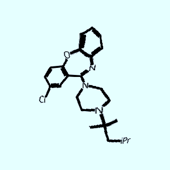 CC(C)CC(C)(C)N1CCN(C2=Nc3ccccc3Oc3ccc(Cl)cc32)CC1